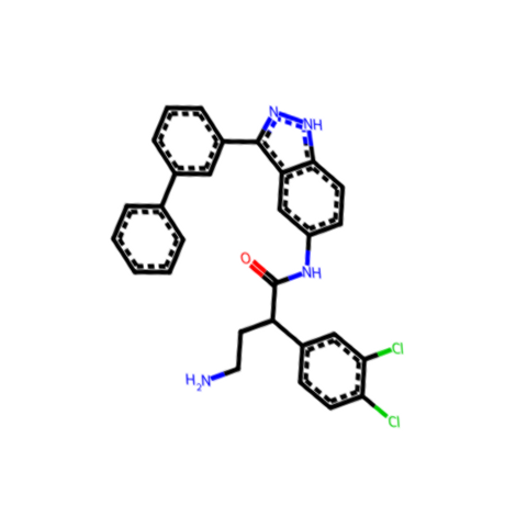 NCCC(C(=O)Nc1ccc2[nH]nc(-c3cccc(-c4ccccc4)c3)c2c1)c1ccc(Cl)c(Cl)c1